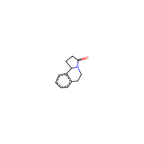 O=C1CCC2c3ccccc3CCN12